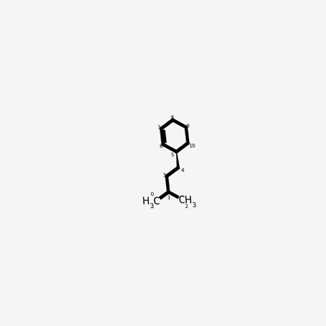 CC(C)CC[C@H]1C=CCCC1